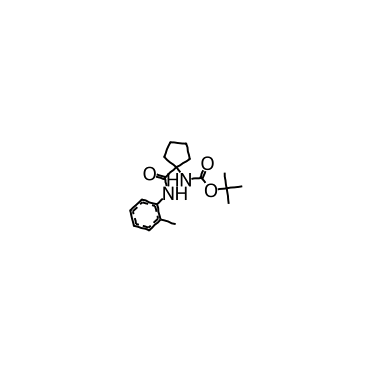 Cc1ccccc1NC(=O)C1(NC(=O)OC(C)(C)C)CCCC1